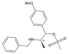 COc1ccc(C(OS(C)(=O)=O)[C@@H](C)NCc2ccccc2)cc1